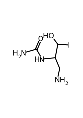 NCC(NC(N)=O)C(O)I